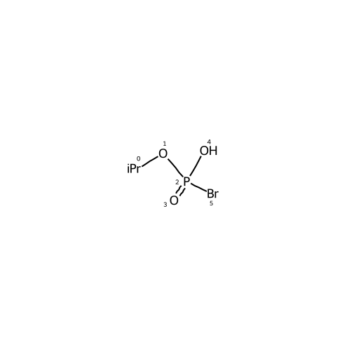 CC(C)OP(=O)(O)Br